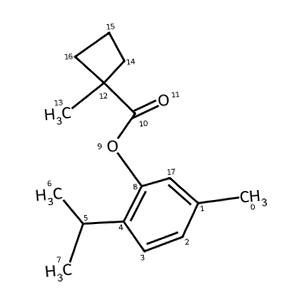 Cc1ccc(C(C)C)c(OC(=O)C2(C)CCC2)c1